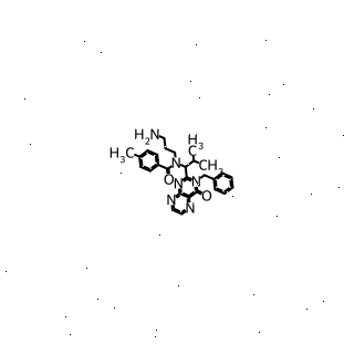 Cc1ccc(C(=O)N(CCCN)C(c2nc3nccnc3c(=O)n2Cc2ccccc2)C(C)C)cc1